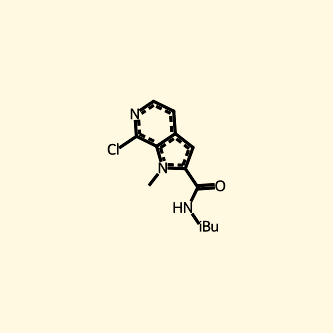 CCC(C)NC(=O)c1cc2ccnc(Cl)c2n1C